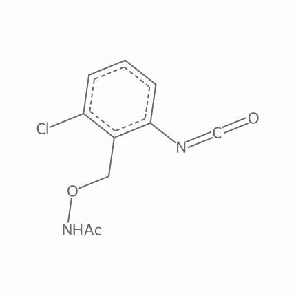 CC(=O)NOCc1c(Cl)cccc1N=C=O